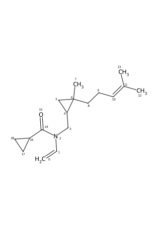 C=CN(CC1CC1(C)CCC=C(C)C)C(=O)C1CC1